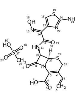 C=CC1=C(C(=O)O)N2C(=O)[C@@H](NC(=O)C(=NO)c3csc(N)n3)[C@H]2SC1.CS(=O)(=O)O